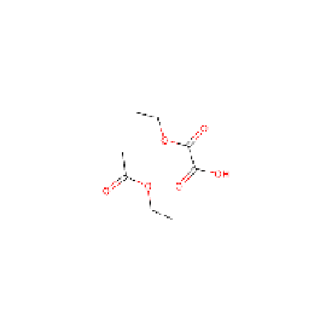 CCOC(=O)C(=O)O.CCOC(C)=O